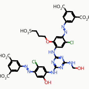 O=C(O)c1cc(N=Nc2cc(O)c(Nc3nc(NCO)nc(Nc4cc(Cl)c(N=Nc5cc(C(=O)O)cc(C(=O)O)c5)cc4OCCCS(=O)(=O)O)n3)cc2Cl)cc(C(=O)O)c1